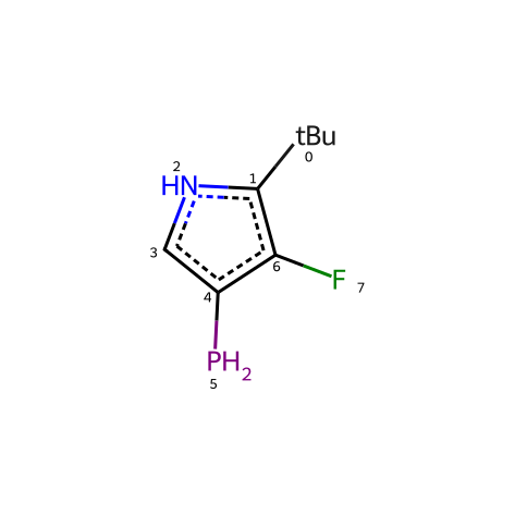 CC(C)(C)c1[nH]cc(P)c1F